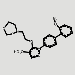 CCOc1ccccc1-c1ccc(-n2ncc(C(=O)O)c2OCCN2CCOCC2)cc1